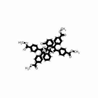 COC(=O)c1ccc(C2=NC(c3ccccc3Cl)(C3(c4ccccc4Cl)N=C(c4ccc(C(=O)OC)cc4)C(c4ccc(C(=O)OC)cc4)=N3)N=C2c2ccc(C(=O)OC)cc2)cc1